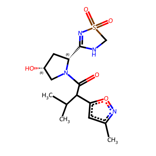 Cc1cc(C(C(=O)N2C[C@H](O)C[C@@H]2C2=NS(=O)(=O)CN2)C(C)C)on1